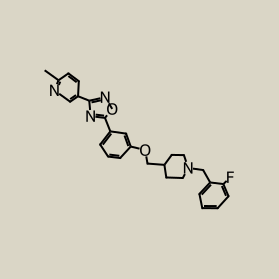 Cc1ccc(-c2noc(-c3cccc(OCC4CCN(Cc5ccccc5F)CC4)c3)n2)cn1